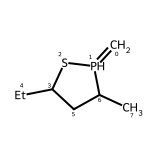 C=[PH]1SC(CC)CC1C